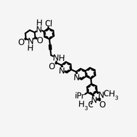 CC(C)c1cc(-c2cccc3cc(-c4ccc(C(=O)NCC#Cc5ccc(Cl)c(NC6CCC(=O)NC6=O)c5)nc4)ncc23)cc2c1n(C)c(=O)n2C